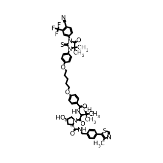 Cc1ncsc1-c1ccc(CNC(=O)[C@@H]2C[C@@H](O)CN2C(=O)C(NC(=O)c2ccc(OCCCCCOc3ccc(N4C(=S)N(c5ccc(C#N)c(C(F)(F)F)c5)C(=O)C4(C)C)cc3)cc2)C(C)(C)C)cc1